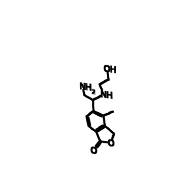 Cc1c(C(CN)NCCO)ccc2c1COC2=O